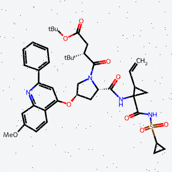 C=CC1CC1(NC(=O)[C@@H]1C[C@@H](Oc2cc(-c3ccccc3)nc3cc(OC)ccc23)CN1C(=O)[C@@H](CC(=O)OC(C)(C)C)C(C)(C)C)C(=O)NS(=O)(=O)C1CC1